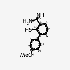 COc1ccc(-c2cccc(C(=N)N)c2S)cc1